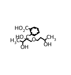 CC(O)CCOCCC(C)O.O=C(O)c1ccccc1C(=O)O